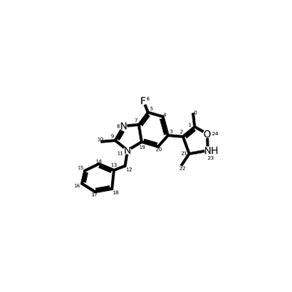 CC1=C(c2cc(F)c3nc(C)n(Cc4ccccc4)c3c2)C(C)NO1